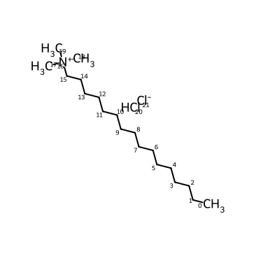 CCCCCCCCCCCCCCCC[N+](C)(C)C.Cl.[Cl-]